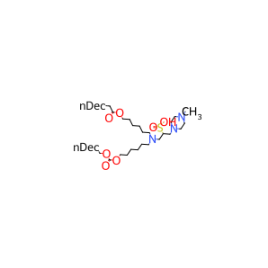 CCCCCCCCCCCOC(=O)OCCCCCCN(CCCCCCOC(=O)CCCCCCCCCCC)CC(CN1CCN(C)CC1)S(=O)O